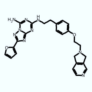 Nc1nc(NCCc2ccc(OCCN3Cc4ccncc4C3)cc2)nc2nc(-c3ccco3)nn12